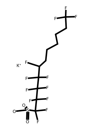 O=S(=O)([O-])C(F)(F)C(F)(F)C(F)(F)C(F)(F)C(F)CCCCCC(F)(F)F.[K+]